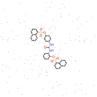 O=C(Nc1ccc(OS(=O)(=O)c2cccc3ccccc23)cc1)Nc1ccccc1OS(=O)(=O)c1cccc2ccccc12